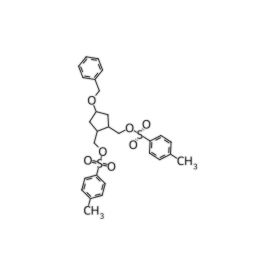 Cc1ccc(S(=O)(=O)OCC2CC(OCc3ccccc3)CC2COS(=O)(=O)c2ccc(C)cc2)cc1